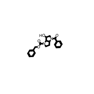 O=C(c1ccccc1)N1CC(O)C2C1CCN2C(=O)OCc1ccccc1